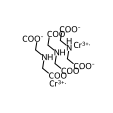 O=C([O-])CNCC(=O)[O-].O=C([O-])CNCC(=O)[O-].O=C([O-])CNCC(=O)[O-].[Cr+3].[Cr+3]